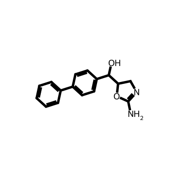 NC1=NCC(C(O)c2ccc(-c3ccccc3)cc2)O1